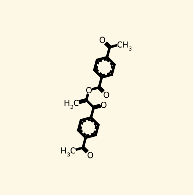 C=C(OC(=O)c1ccc(C(C)=O)cc1)C(=O)c1ccc(C(C)=O)cc1